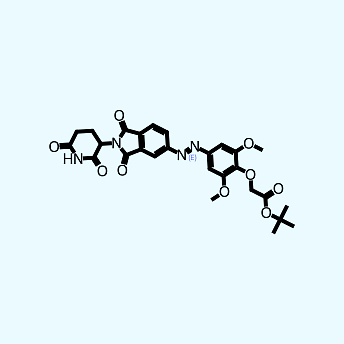 COc1cc(/N=N/c2ccc3c(c2)C(=O)N(C2CCC(=O)NC2=O)C3=O)cc(OC)c1OCC(=O)OC(C)(C)C